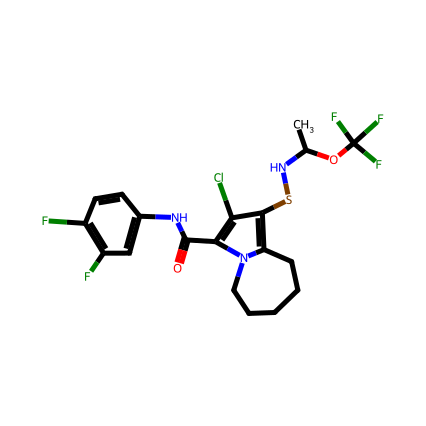 CC(NSc1c(Cl)c(C(=O)Nc2ccc(F)c(F)c2)n2c1CCCCC2)OC(F)(F)F